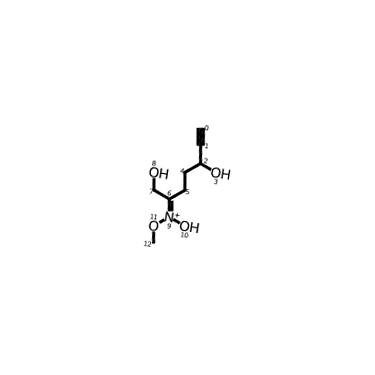 C#CC(O)CC/C(CO)=[N+](\O)OC